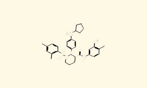 Cc1ccc(S(=O)(=O)N2CCC[C@H](C(=O)Nc3ccc(C)c(C(F)(F)F)c3)[C@@H]2c2ccc(NC3CCCC3)cc2)c(C)c1